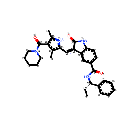 CC[C@H](NC(=O)c1ccc2c(c1)/C(=C/c1[nH]c(C)c(C(=O)N3CCCCC3)c1C)C(=O)N2)c1ccccc1